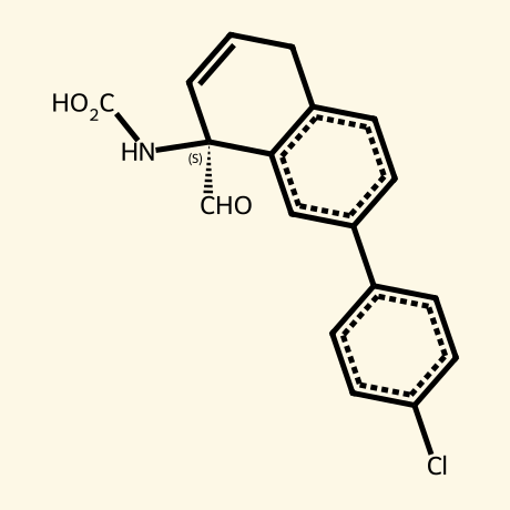 O=C[C@]1(NC(=O)O)C=CCc2ccc(-c3ccc(Cl)cc3)cc21